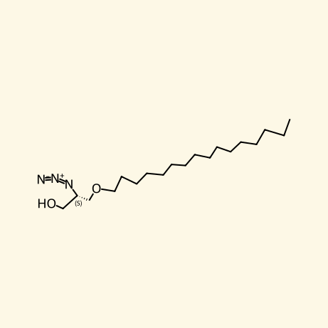 CCCCCCCCCCCCCCCCOC[C@H](CO)N=[N+]=[N-]